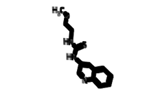 COCCNC(=S)Nc1cnc2ccccc2c1